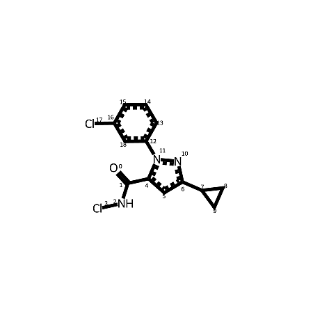 O=C(NCl)c1cc(C2CC2)nn1-c1cccc(Cl)c1